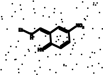 CCN/C=C1/C=C([N+](=O)[O-])C=CC1=N